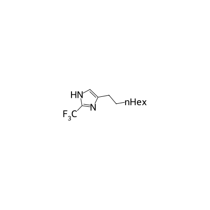 CCCCCCCCc1c[nH]c(C(F)(F)F)n1